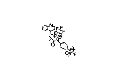 CC1(C)C(=O)N(c2ccc(S(=O)(=O)C(F)(F)F)cc2)C(=O)[N+]1(Cc1ccnc2ccccc12)OC(=O)C(F)(F)F